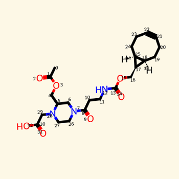 CC(=O)OCC1CN(C(=O)CCNC(=O)OC[C@@H]2[C@@H]3CCC#CCC[C@@H]32)CCN1CC(=O)O